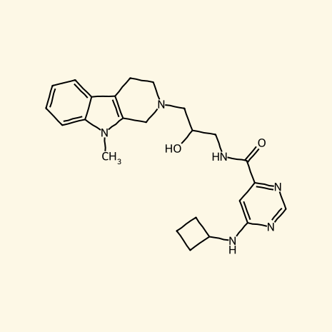 Cn1c2c(c3ccccc31)CCN(CC(O)CNC(=O)c1cc(NC3CCC3)ncn1)C2